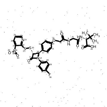 CC(C)(C)[C@@H](NC(=O)CNC(=O)COc1ccc([C@@H]2[C@@H](SSc3ncccc3[N+](=O)[O-])C(=O)N2c2ccc(F)cc2)cc1)C(=O)O